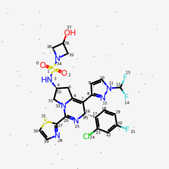 O=S(=O)(N[C@H]1CC2=C(c3ccn(C(F)F)n3)[C@H](c3ccc(F)cc3Cl)N=C(c3nccs3)N2C1)N1CC(O)C1